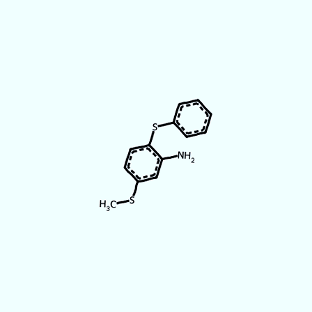 CSc1ccc(Sc2ccccc2)c(N)c1